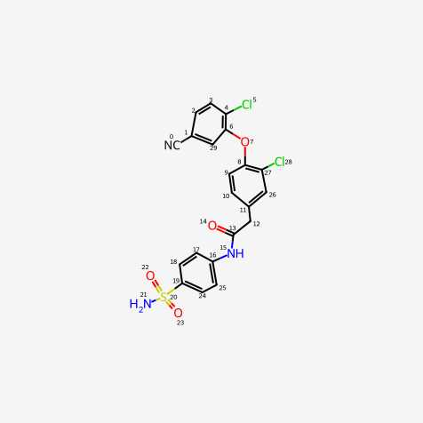 N#Cc1ccc(Cl)c(Oc2ccc(CC(=O)Nc3ccc(S(N)(=O)=O)cc3)cc2Cl)c1